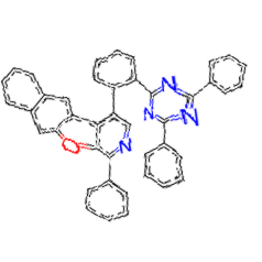 c1ccc(-c2nc(-c3ccccc3)nc(-c3ccccc3-c3cnc(-c4ccccc4)c4oc5cc6ccccc6cc5c34)n2)cc1